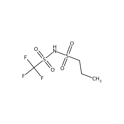 CCCS(=O)(=O)NS(=O)(=O)C(F)(F)F